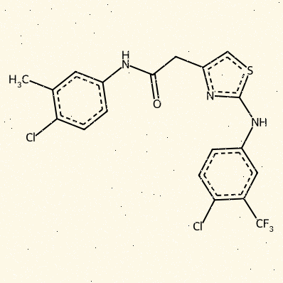 Cc1cc(NC(=O)Cc2csc(Nc3ccc(Cl)c(C(F)(F)F)c3)n2)ccc1Cl